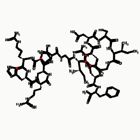 CC[C@H](C)[C@H](NC(=O)CNC(=O)[C@@H](NC(=O)[C@H](CC(=O)O)NC(=O)[C@H](CCCNC(=N)N)NC(=O)[C@H](Cc1c[nH]cn1)NC(=O)[C@H](CCCNC(=N)N)NC(=O)[C@@H]1CCCN1)[C@@H](C)O)C(=O)N[C@@H](CC(C)C)C(=O)N[C@@H](CC(=O)O)C(=O)N[C@@H](CO)C(=O)N[C@H](C(=O)NCC(=O)N[C@@H](CCCNC(=N)N)C(=O)N[C@@H](Cc1ccccc1)C(N)=O)[C@@H](C)CC